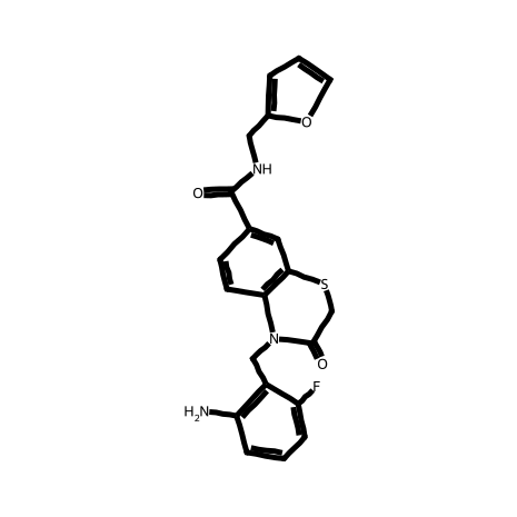 Nc1cccc(F)c1CN1C(=O)CSc2cc(C(=O)NCc3ccco3)ccc21